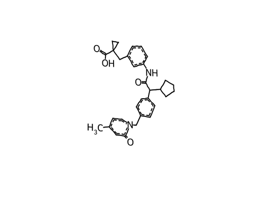 Cc1ccn(Cc2ccc(C(C(=O)Nc3cccc(CC4(C(=O)O)CC4)c3)C3CCCC3)cc2)c(=O)c1